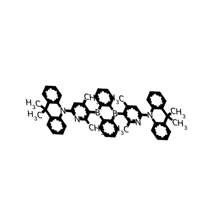 Cc1cc(N2c3ccccc3C(C)(C)c3ccccc32)nc(C)c1B1c2ccccc2B(c2c(C)cc(N3c4ccccc4C(C)(C)c4ccccc43)nc2C)c2ccccc21